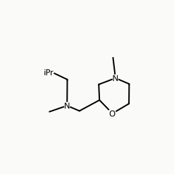 CC(C)CN(C)CC1CN(C)CCO1